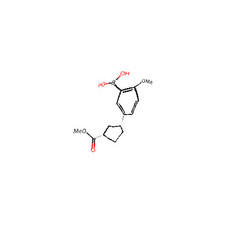 COC(=O)[C@H]1CC[C@@H](c2ccc(OC)c(B(O)O)c2)C1